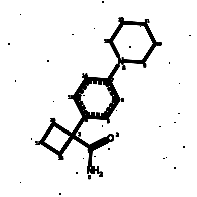 NC(=O)C1(c2ccc(N3CCCCC3)cc2)CCC1